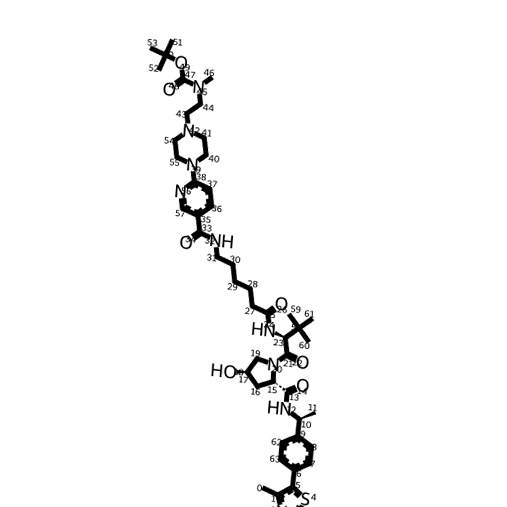 Cc1ncsc1-c1ccc([C@H](C)NC(=O)[C@@H]2C[C@@H](O)CN2C(=O)[C@@H](NC(=O)CCCCCNC(=O)c2ccc(N3CCN(CCN(C)C(=O)OC(C)(C)C)CC3)nc2)C(C)(C)C)cc1